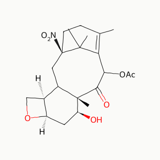 CC(=O)OC1C(=O)[C@@]2(C)C(C[C@]3([N+](=O)[O-])CCC(C)=C1C3(C)C)[C@@H]1CO[C@@H]1C[C@@H]2O